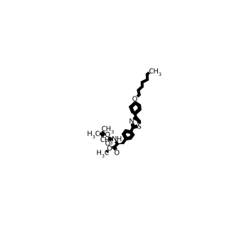 CCCCCCCOc1ccc(-c2csc(-c3ccc(C[C@H](NC(=O)OC(C)(C)C)C(=O)OC)cc3)n2)cc1